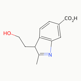 CC1=Nc2cc(C(=O)O)ccc2C1CCO